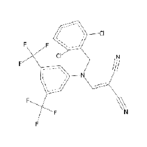 N#CC(C#N)=CN(Cc1c(Cl)cccc1Cl)c1cc(C(F)(F)F)cc(C(F)(F)F)c1